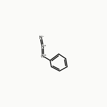 [N-]=[N+]=[N+]c1ccccc1